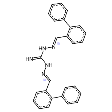 N=C(N/N=C/c1ccccc1-c1ccccc1)N/N=C/c1ccccc1-c1ccccc1